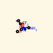 Cc1cccc(-c2ccc(S(=O)(=O)N(Cc3nncn3Cc3ccc(N)cc3)c3ccc(Oc4ccccc4)cc3)c(OC(F)(F)F)c2)c1